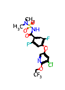 CN(C)S(=O)(=O)NC(=O)c1cc(F)c(Oc2cnc(OCC(F)(F)F)c(Cl)c2)cc1F